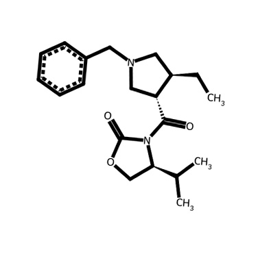 CC[C@@H]1CN(Cc2ccccc2)C[C@H]1C(=O)N1C(=O)OC[C@@H]1C(C)C